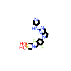 OS1(O)CCN(Cc2c(F)cc(-n3ccc4cnc(Nc5ccncc5)nc43)cc2F)CC1